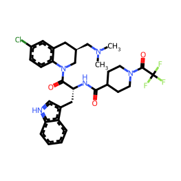 CN(C)C[C@@H]1Cc2cc(Cl)ccc2N(C(=O)[C@@H](Cc2c[nH]c3ccccc23)NC(=O)C2CCN(C(=O)C(F)(F)F)CC2)C1